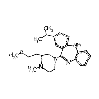 COCCC1CN(C2=Nc3ccccc3Nc3ccc(C(C)C)cc32)CCN1C